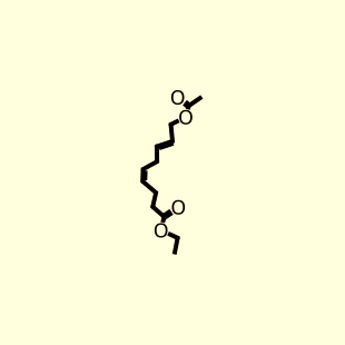 CCOC(=O)CC/C=C\C/C=C/COC(C)=O